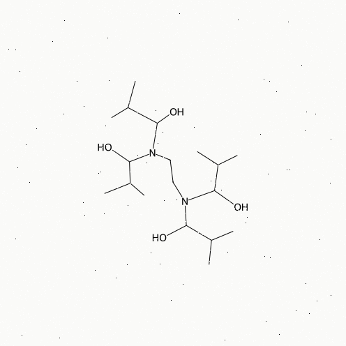 CC(C)C(O)N(CCN(C(O)C(C)C)C(O)C(C)C)C(O)C(C)C